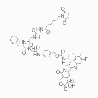 CC[C@@]1(O)C(=O)OCc2c1cc1n(c2=O)Cc2c-1nc1cc(F)c(C)c3c1c2[C@@H](NC(=O)OCc1ccc(NC(=O)CNC(=O)[C@H](Cc2ccccc2)NC(=O)CNC(=O)CNC(=O)CCCCCN2C(=O)CCC2=O)cc1)CC3